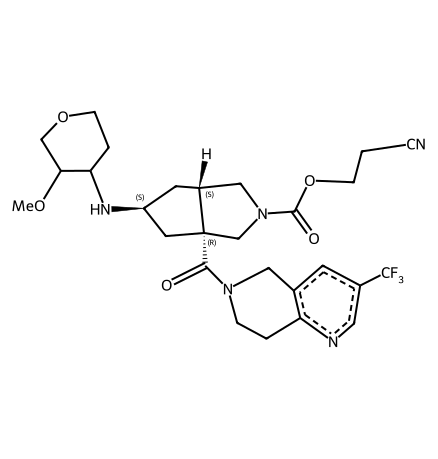 COC1COCCC1N[C@H]1C[C@@H]2CN(C(=O)OCCC#N)C[C@@]2(C(=O)N2CCc3ncc(C(F)(F)F)cc3C2)C1